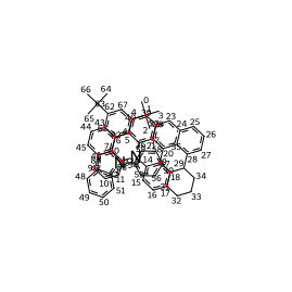 CC(C)(C)c1cc(-c2ccccc2N(c2ccccc2-c2cccc3cccc(C4CCCCC4)c23)c2ccccc2-c2cccc3c4ccccc4n(-c4ccccc4)c23)cc(C(C)(C)C)c1